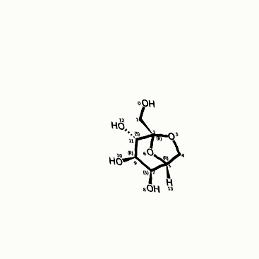 OC[C@@]12OC[C@@H](O1)[C@@H](O)[C@@H](O)[C@@H]2O